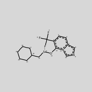 FC(F)(F)c1ccc2cncn2c1OSCC1CCCCC1